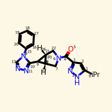 CC(C)c1cc(C(=O)N2C[C@@H]3C(c4nncn4-c4ccccc4)[C@@H]3C2)n[nH]1